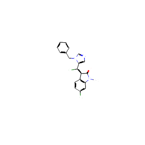 CC(=O)N1C(=O)/C(=C(/Cl)c2cncn2Cc2ccccc2)c2ccc(Cl)cc21